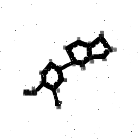 COc1ccc(-c2ccc3nncn3n2)cc1Br